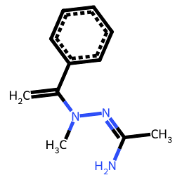 C=C(c1ccccc1)N(C)/N=C(/C)N